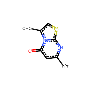 CCCc1cc(=O)n2c(C=O)csc2n1